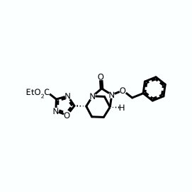 CCOC(=O)c1noc([C@H]2CC[C@H]3CN2C(=O)N3OCc2ccccc2)n1